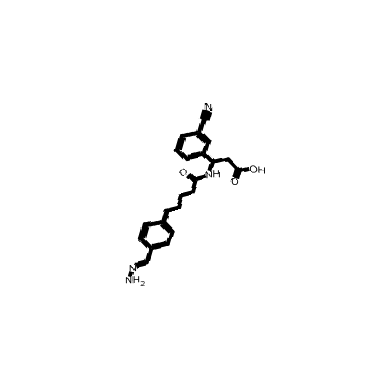 N#Cc1cccc(C(CC(=O)O)NC(=O)CCCCc2ccc(C=NN)cc2)c1